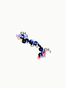 Cc1cc(-c2ccc3c(ccc4sc5c(c43)NC[C@@H](C)NC5=O)n2)cnc1N1CCN(CCCc2ccc3c(c2)n(C)c(=O)n3C2CCC(=O)NC2=O)CC1